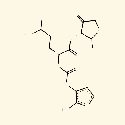 Cc1occc1OC(=O)N[C@@H](CCC(C)C)C(=O)N[C@@H]1C(=O)CO[C@H]1C